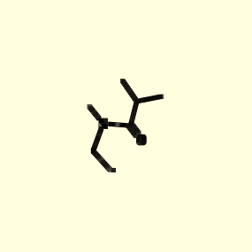 [CH2]CN(C)C(=O)C(C)C